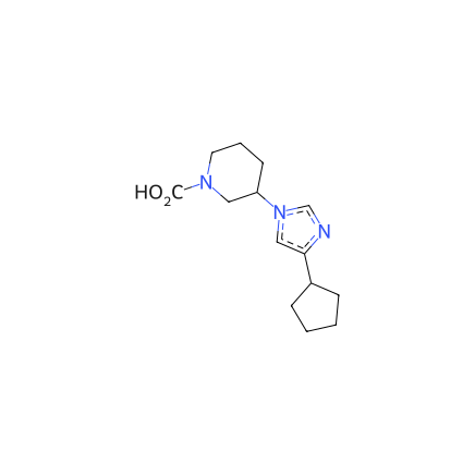 O=C(O)N1CCCC(n2cnc(C3CCCC3)c2)C1